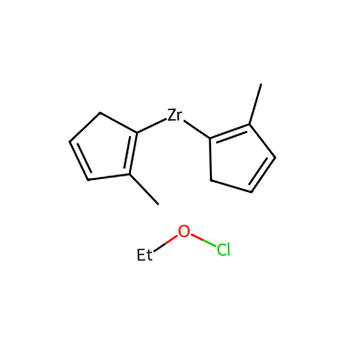 CC1=[C]([Zr][C]2=C(C)C=CC2)CC=C1.CCOCl